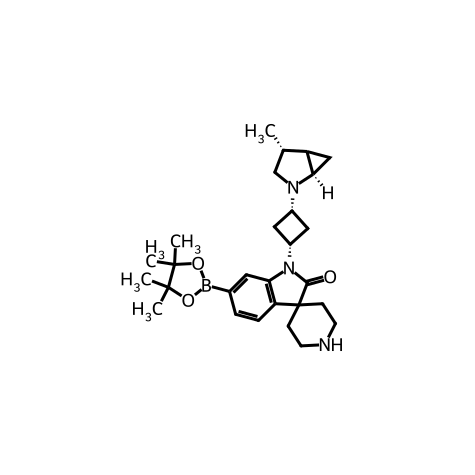 C[C@H]1CN([C@H]2C[C@@H](N3C(=O)C4(CCNCC4)c4ccc(B5OC(C)(C)C(C)(C)O5)cc43)C2)[C@@H]2CC21